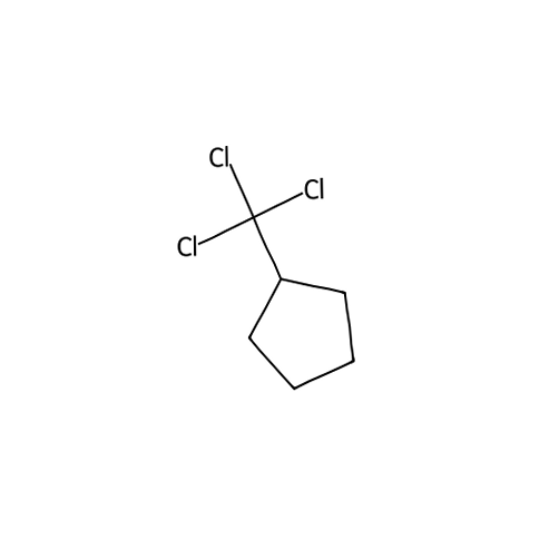 ClC(Cl)(Cl)C1CCCC1